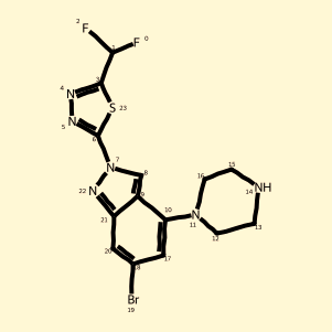 FC(F)c1nnc(-n2cc3c(N4CCNCC4)cc(Br)cc3n2)s1